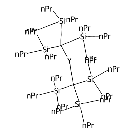 CCC[Si](CCC)(CCC)[C]([Y][C]([Si](CCC)(CCC)CCC)([Si](CCC)(CCC)CCC)[Si](CCC)(CCC)CCC)([Si](CCC)(CCC)CCC)[Si](CCC)(CCC)CCC